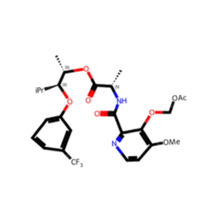 COc1ccnc(C(=O)N[C@@H](C)C(=O)O[C@@H](C)[C@@H](Oc2cccc(C(F)(F)F)c2)C(C)C)c1OCOC(C)=O